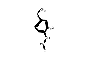 COc1ccc(NNCl)cc1.O